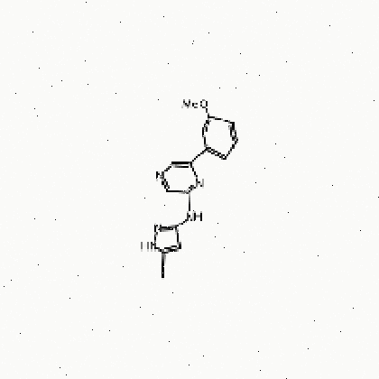 COc1cccc(-c2cncc(Nc3cc(C)[nH]n3)n2)c1